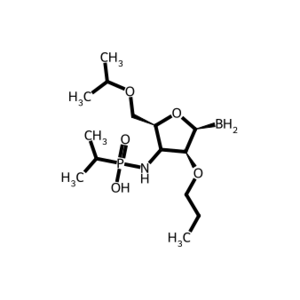 B[C@@H]1O[C@H](COC(C)C)C(NP(=O)(O)C(C)C)[C@@H]1OCCC